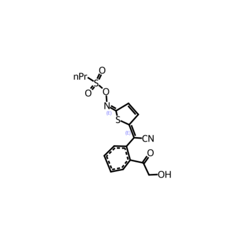 CCCS(=O)(=O)O/N=C1C=C/C(=C(\C#N)c2ccccc2C(=O)CO)S\1